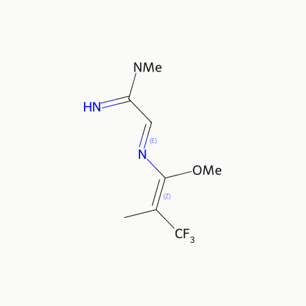 CNC(=N)/C=N/C(OC)=C(\C)C(F)(F)F